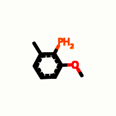 COc1cccc(C)c1P